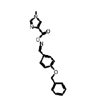 Cn1cnc(C(=O)ON=Cc2ccc(OCc3ccccc3)cc2)c1